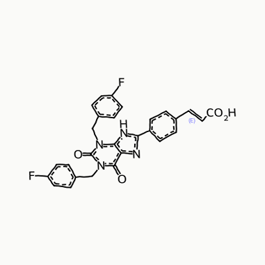 O=C(O)/C=C/c1ccc(-c2nc3c(=O)n(Cc4ccc(F)cc4)c(=O)n(Cc4ccc(F)cc4)c3[nH]2)cc1